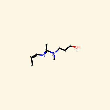 C/C=C\N=C(/C)N(C)CCCO